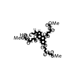 COC(=O)COC(=O)CCC(=O)OC1CCC2(C)C(C1)CC(OC(=O)CCC(=O)OCC(=O)OC)C1C2CC(OC(=O)CCC(=O)OCC(=O)OC)C2(C)C(C(C)CCC(=O)O)CCC12